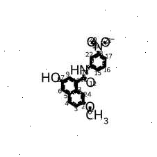 COc1ccc2cc(O)cc(C(=O)Nc3cccc([N+](=O)[O-])c3)c2c1